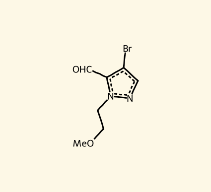 COCCn1ncc(Br)c1C=O